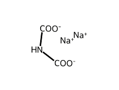 O=C([O-])NC(=O)[O-].[Na+].[Na+]